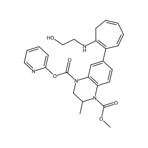 COC(=O)N1c2ccc(C3=C(NCCO)CC=CC=C3)cc2N(C(=O)Oc2ccccn2)CC1C